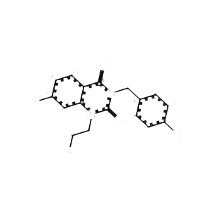 CC(=O)CCn1c(=O)n(Cc2ccc(Br)cc2)c(=O)c2ccc(F)cc21